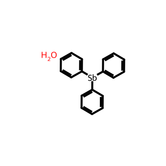 O.c1cc[c]([Sb]([c]2ccccc2)[c]2ccccc2)cc1